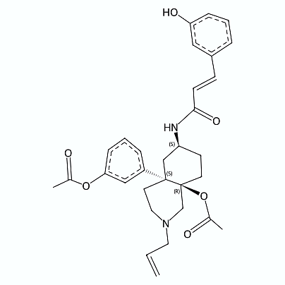 C=CCN1CC[C@@]2(c3cccc(OC(C)=O)c3)C[C@@H](NC(=O)C=Cc3cccc(O)c3)CC[C@]2(OC(C)=O)C1